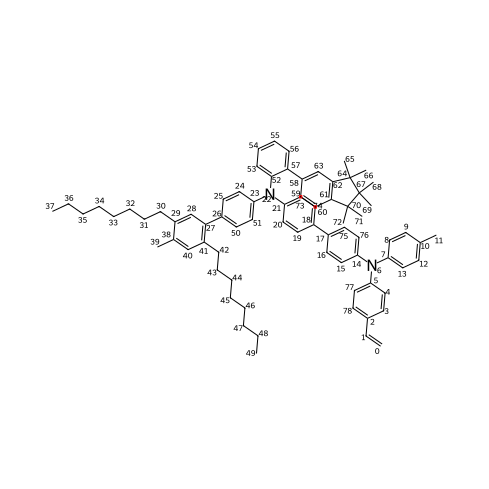 C=Cc1ccc(N(c2ccc(C)cc2)c2ccc(-c3ccc(N(c4ccc(-c5cc(CCCCCCCC)c(C)cc5CCCCCCCC)cc4)c4ccccc4-c4ccc5c(c4)C(C)(C)C(C)(C)C5(C)C)cc3)cc2)cc1